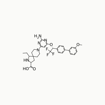 CCC1NC(C(=O)O)CC12CCN(c1cc(O[C@H](c3ccc(-c4cccc(OC)c4)cc3)C(F)(F)F)nc(N)n1)CC2